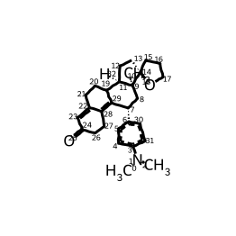 CN(C)c1ccc([C@H]2C[C@@]3(C)[C@H](CC[C@@]34CCCO4)C3CCC4=CC(=O)CCC4=C32)cc1